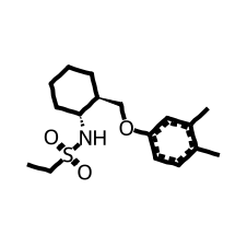 CCS(=O)(=O)N[C@@H]1CCCC[C@H]1COc1ccc(C)c(C)c1